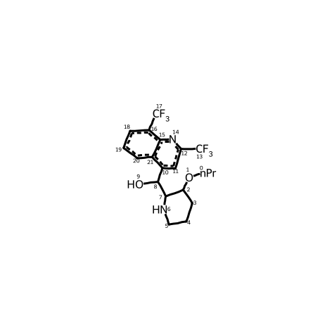 CCCOC1CCCNC1C(O)c1cc(C(F)(F)F)nc2c(C(F)(F)F)cccc12